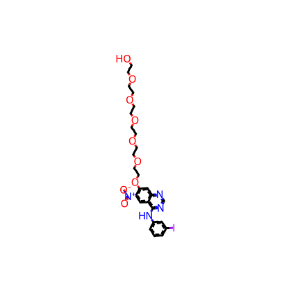 O=[N+]([O-])c1cc2c(Nc3cccc(I)c3)ncnc2cc1OCCOCCOCCOCCOCCOCCO